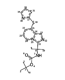 CC(C)(C)OC(=O)NC(C)(C)c1ncc2c(Sc3nccs3)cccn12